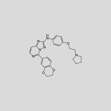 c1cc2nc(Nc3ccc(OCCN4CCCC4)cc3)nn2c(-c2ccc3c(c2)OCCO3)n1